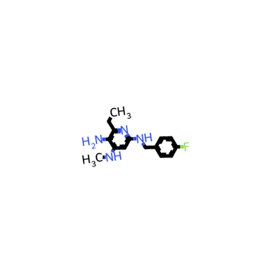 CCc1nc(NCc2ccc(F)cc2)cc(NC)c1N